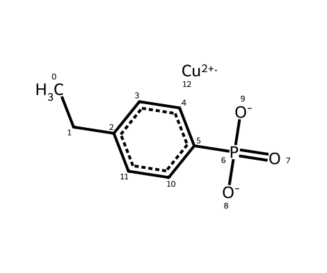 CCc1ccc(P(=O)([O-])[O-])cc1.[Cu+2]